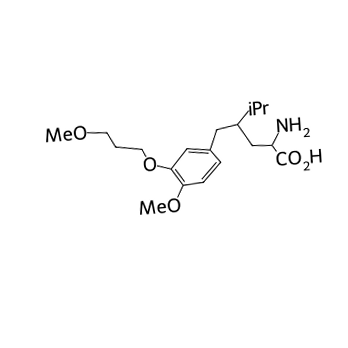 COCCCOc1cc(CC(CC(N)C(=O)O)C(C)C)ccc1OC